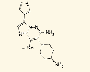 CNc1c2ncc(-c3ccsc3)n2nc(N)c1[C@H]1CC[C@H](N)CC1